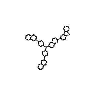 c1ccc2ncc(-c3ccc(N(c4ccc(-c5cnc6ccccc6c5)cc4)c4ccc5cc(-c6ccc7oc8ncccc8c7c6)ccc5c4)cc3)cc2c1